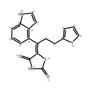 O=C1NC(=O)/C(=C(/CCc2cccs2)c2cccc3[nH]ccc23)S1